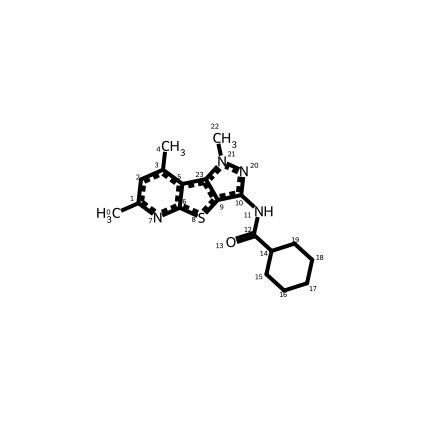 Cc1cc(C)c2c(n1)sc1c(NC(=O)C3CCCCC3)nn(C)c12